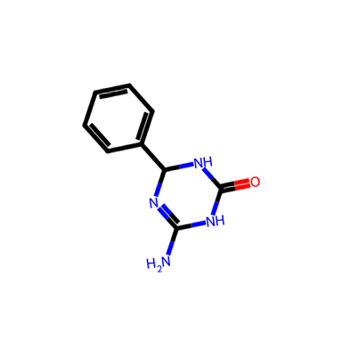 NC1=NC(c2ccccc2)NC(=O)N1